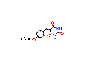 CCCCCCCCCOc1ccc(C=C2C(=O)NC(=O)NC2=O)cc1